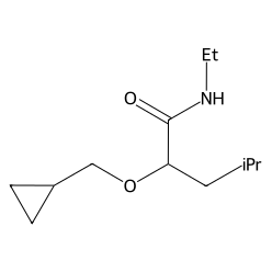 CCNC(=O)C(CC(C)C)OCC1CC1